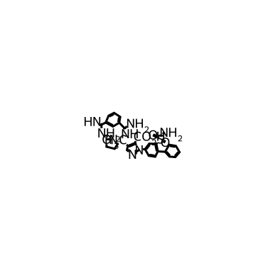 C1=NOCC1.Cc1cnn(-c2ccc(-c3ccccc3)c(S(N)(=O)=O)c2)c1C(=O)O.N=C(N)c1cccc(C(=N)N)c1